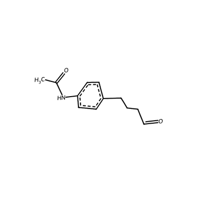 CC(=O)Nc1ccc(CCCC=O)cc1